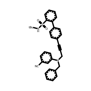 CC(C)(C)NS(=O)(=O)c1ccccc1-c1ccc(C#CCN(Cc2ccccc2)c2cccc(C#N)c2)cc1